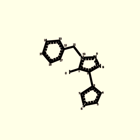 Ic1c(-c2ccsc2)nnn1Cc1ccccc1